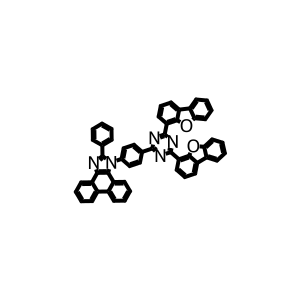 c1ccc(-c2nc3c4ccccc4c4ccccc4c3n2-c2ccc(-c3nc(-c4cccc5c4oc4ccccc45)nc(-c4cccc5c4oc4ccccc45)n3)cc2)cc1